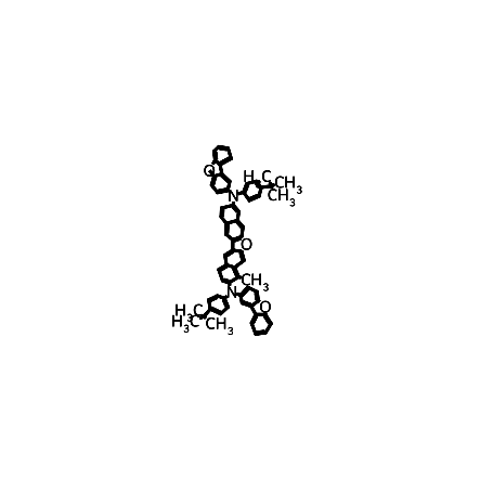 Cc1c(N(c2ccc(C(C)(C)C)cc2)c2ccc3oc4ccccc4c3c2)ccc2cc3c(cc12)oc1cc2cc(N(c4ccc(C(C)(C)C)cc4)c4ccc5oc6ccccc6c5c4)ccc2cc13